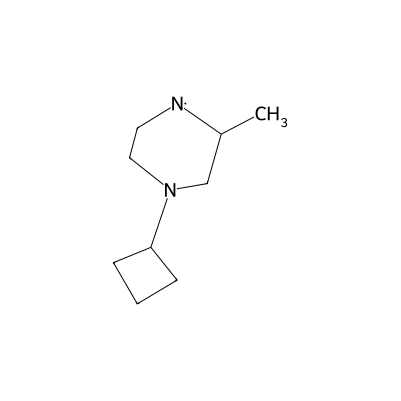 CC1CN(C2CCC2)CC[N]1